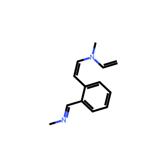 C=CN(C)/C=C\c1ccccc1/C=N/C